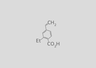 C=Cc1ccc(C(=O)O)c(CC)c1